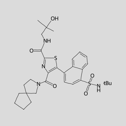 CC(C)(O)CNC(=O)c1nc(C(=O)N2CCC3(CCCC3)C2)c(-c2ccc(S(=O)(=O)NC(C)(C)C)c3ccccc23)s1